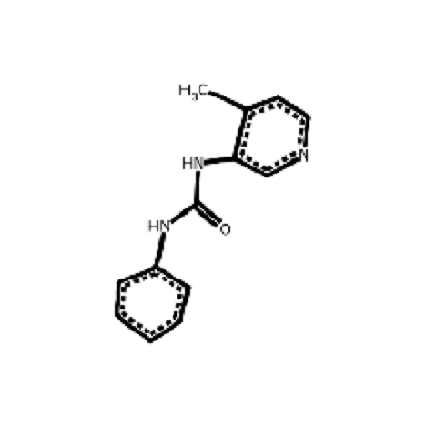 Cc1ccncc1NC(=O)Nc1ccccc1